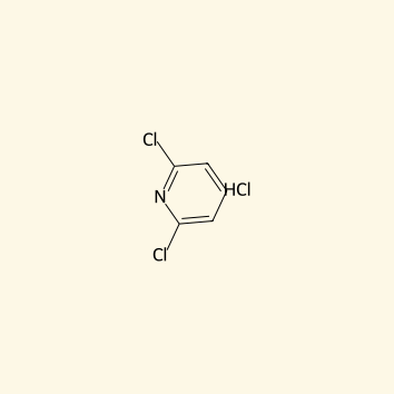 Cl.Clc1cccc(Cl)n1